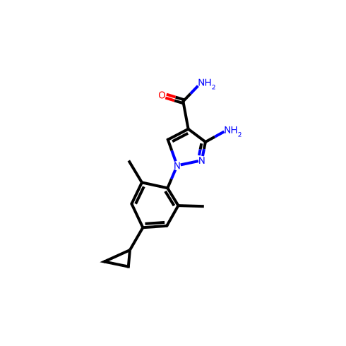 Cc1cc(C2CC2)cc(C)c1-n1cc(C(N)=O)c(N)n1